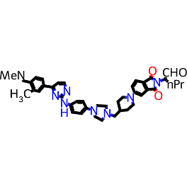 CCCC(C=O)N1C(=O)c2ccc(N3CCC(CN4CCN(c5ccc(Nc6nccc(-c7ccc(CNC)c(C)c7)n6)cc5)CC4)CC3)cc2C1=O